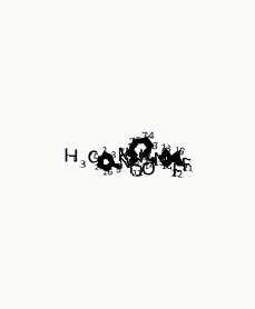 Cc1ccc(Cn2nc3n(c2=O)[C@H](C(=O)N2CC4(C2)CC4(F)F)CCC3)cc1